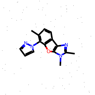 Cc1ccc2c(oc3c2nc(C)n3C)c1-n1cccn1